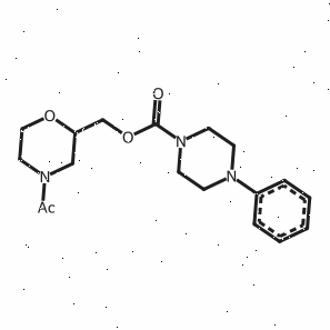 CC(=O)N1CCOC(COC(=O)N2CCN(c3ccccc3)CC2)C1